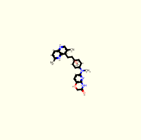 CN(c1ccc2c(n1)NC(=O)CO2)C12CCC(CCc3c(C#N)cnc4ccc(C#N)nc34)(CC1)OC2